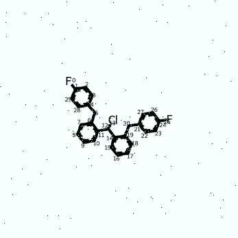 Fc1ccc(Cc2ccccc2C(Cl)c2ccccc2Cc2ccc(F)cc2)cc1